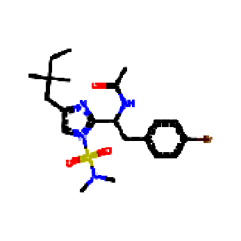 CCC(C)(C)Cc1cn(S(=O)(=O)N(C)C)c(C(Cc2ccc(Br)cc2)NC(C)=O)n1